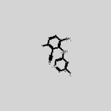 N#Cc1c(F)ccc(N)c1Nc1cncc(F)c1